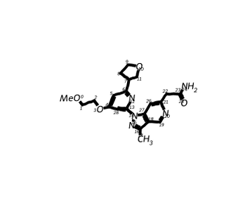 COCCOc1cc(C2CCOC2)nc(-n2nc(C)c3cnc(CC(N)=O)cc32)c1